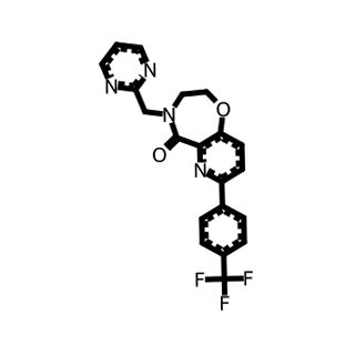 O=C1c2nc(-c3ccc(C(F)(F)F)cc3)ccc2OCCN1Cc1ncccn1